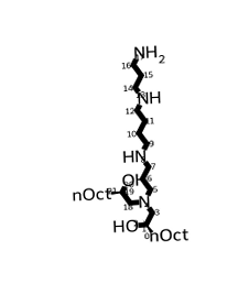 CCCCCCCC[C@@H](O)CN(CCCNCCCCNCCCN)C[C@H](O)CCCCCCCC